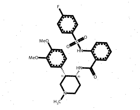 COc1ccc([C@H]2CN(C)CC[C@H]2NC(=O)c2ccccc2NS(=O)(=O)c2ccc(F)cc2)cc1OC